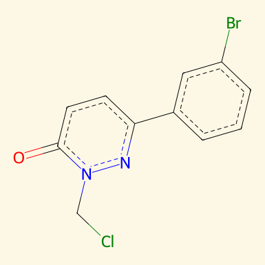 O=c1ccc(-c2cccc(Br)c2)nn1CCl